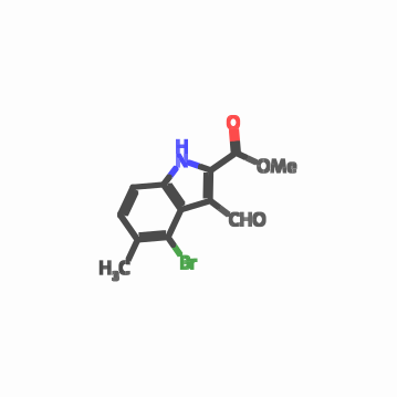 COC(=O)c1[nH]c2ccc(C)c(Br)c2c1C=O